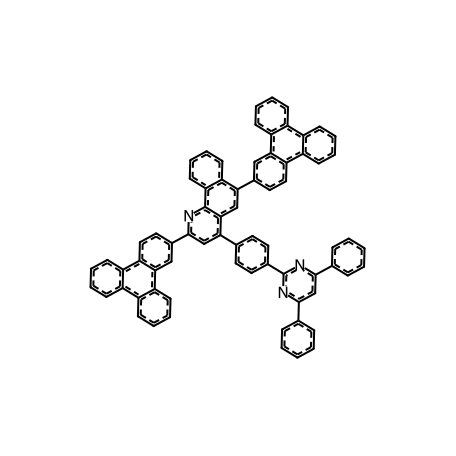 c1ccc(-c2cc(-c3ccccc3)nc(-c3ccc(-c4cc(-c5ccc6c7ccccc7c7ccccc7c6c5)nc5c4cc(-c4ccc6c7ccccc7c7ccccc7c6c4)c4ccccc45)cc3)n2)cc1